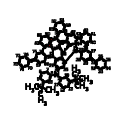 CC(C)(C)c1cccc(N(c2cccc(C(C)(C)C)c2)c2cc3c4c(c2)B(c2ccc(-c5ccccc5)cc2-c2ccccc2)c2ccc5c6ccccc6c6ccc(c7c6c5c2n7-4)B3c2ccc(-c3ccccc3)cc2-c2ccccc2)c1